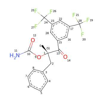 C[C@@](Cc1ccccc1)(OC(N)=O)C(=O)c1cc(C(F)(F)F)cc(C(F)(F)F)c1